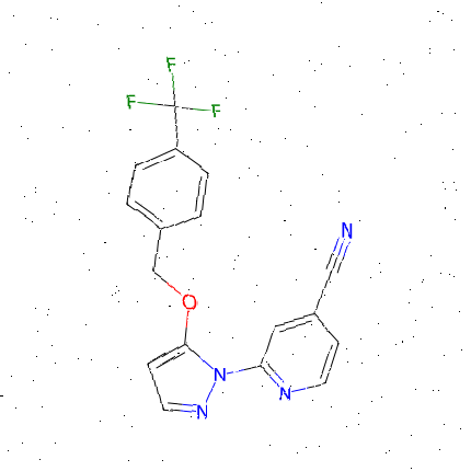 N#Cc1ccnc(-n2nccc2OCc2ccc(C(F)(F)F)cc2)c1